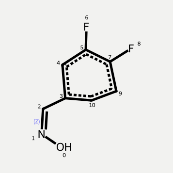 O/N=C\c1[c]c(F)c(F)cc1